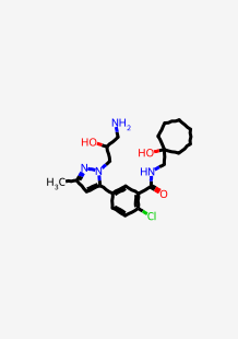 Cc1cc(-c2ccc(Cl)c(C(=O)NCC3(O)CCCCCC3)c2)n(CC(O)CN)n1